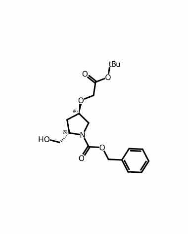 CC(C)(C)OC(=O)CO[C@@H]1C[C@@H](CO)N(C(=O)OCc2ccccc2)C1